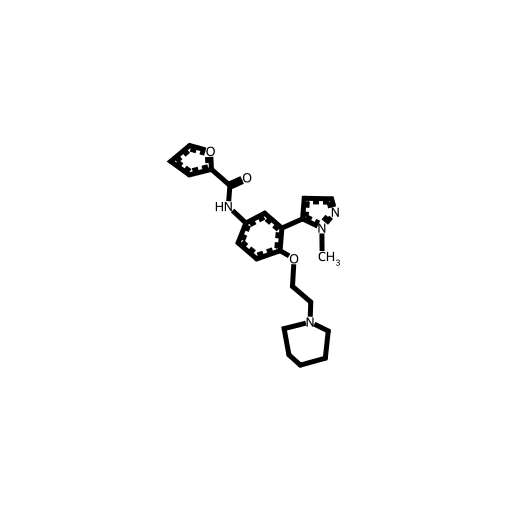 Cn1nccc1-c1cc(NC(=O)c2ccco2)ccc1OCCN1CCCCC1